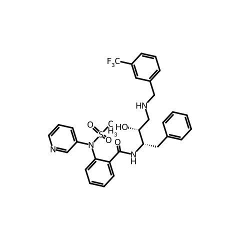 CS(=O)(=O)N(c1cccnc1)c1ccccc1C(=O)N[C@@H](Cc1ccccc1)[C@H](O)CNCc1cccc(C(F)(F)F)c1